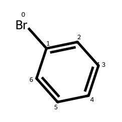 Brc1c[c]ccc1